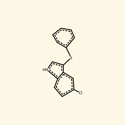 Clc1ccc2[nH]cc(Sc3ccccc3)c2c1